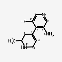 CC1CC(c2c(N)cncc2F)=CCN1